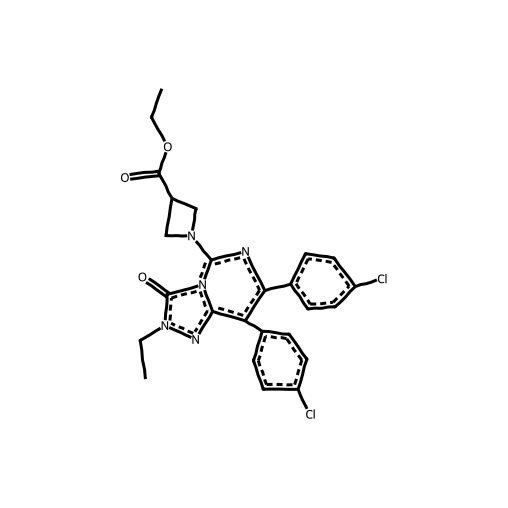 CCOC(=O)C1CN(c2nc(-c3ccc(Cl)cc3)c(-c3ccc(Cl)cc3)c3nn(CC)c(=O)n23)C1